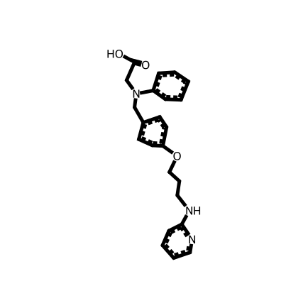 O=C(O)CN(Cc1ccc(OCCCNc2ccccn2)cc1)c1ccccc1